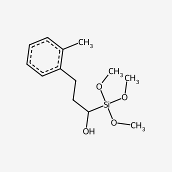 CO[Si](OC)(OC)C(O)CCc1ccccc1C